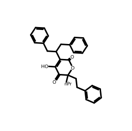 CCCC1(CCc2ccccc2)OC(=O)C(C(Cc2ccccc2)Cc2ccccc2)=C(O)C1=O